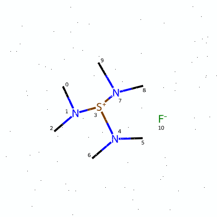 CN(C)[S+](N(C)C)N(C)C.[F-]